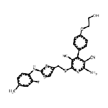 Cc1ccc(Nc2nc(CSc3nc(N)c(C#N)c(-c4ccc(OCCO)cc4)c3C#N)cs2)c(F)c1